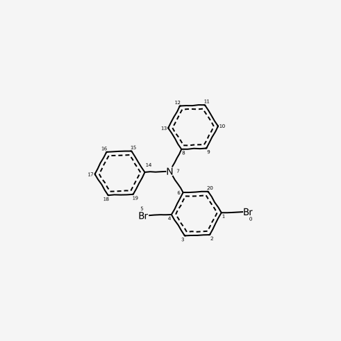 Brc1ccc(Br)c(N(c2ccccc2)c2ccccc2)c1